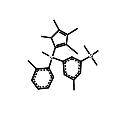 CC1=C(C)C(C)C([Si](C)(c2cc(C)cc([Si](C)(C)C)c2)c2ccccc2C)=C1C